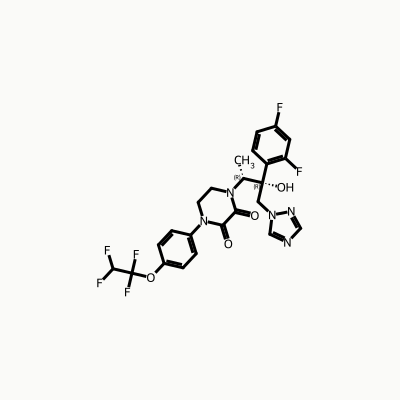 C[C@@H](N1CCN(c2ccc(OC(F)(F)C(F)F)cc2)C(=O)C1=O)[C@](O)(Cn1cncn1)c1ccc(F)cc1F